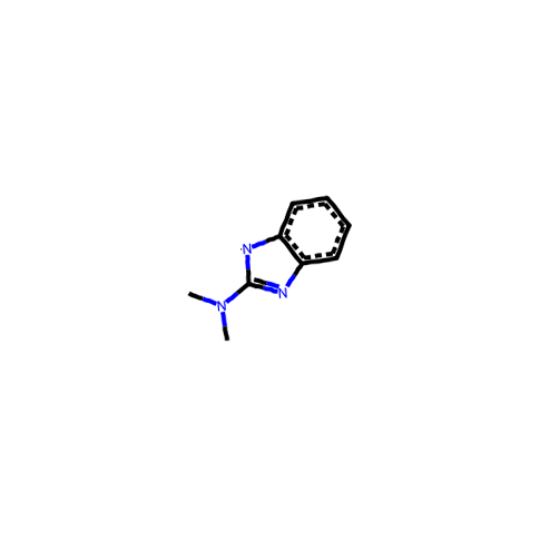 CN(C)C1=Nc2ccccc2[N]1